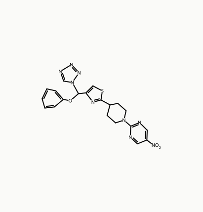 O=[N+]([O-])c1cnc(N2CCC(c3nc(C(Oc4ccccc4)n4cnnn4)cs3)CC2)nc1